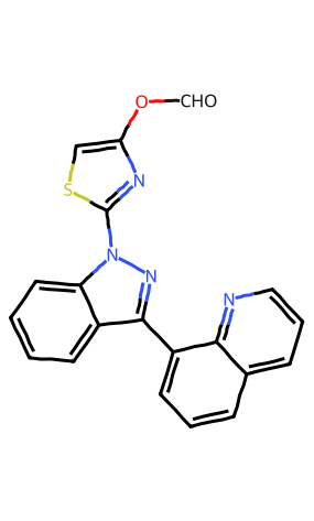 O=COc1csc(-n2nc(-c3cccc4cccnc34)c3ccccc32)n1